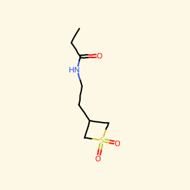 CCC(=O)NCCC1CS(=O)(=O)C1